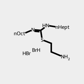 Br.Br.CCCCCCCCN=C(NCCCCCCC)SCCN